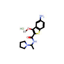 CCOc1c(C(=O)NC(C)N2CCCC2)sc2ccc(N)cc12.Cl